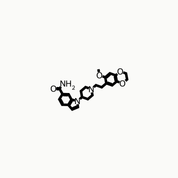 COc1cc2c(cc1CCN1CCC(n3ccc4ccc(C(N)=O)cc43)CC1)OCCO2